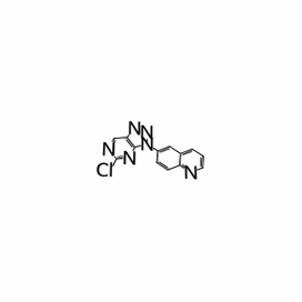 Clc1ncc2nnn(-c3ccc4ncccc4c3)c2n1